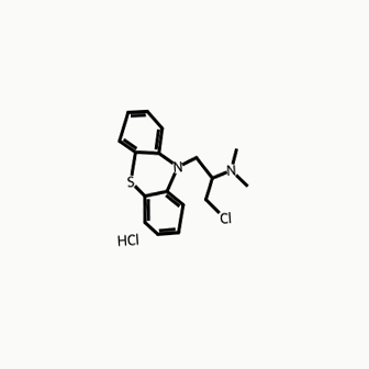 CN(C)C(CCl)CN1c2ccccc2Sc2ccccc21.Cl